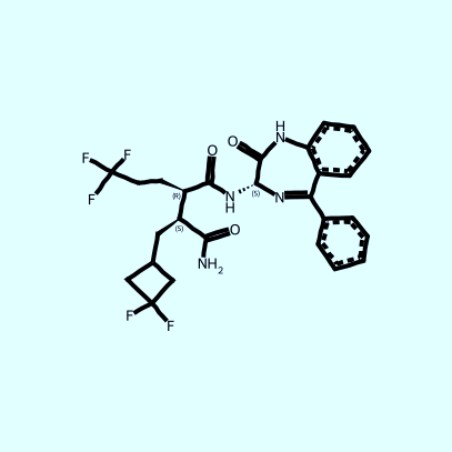 NC(=O)[C@@H](CC1CC(F)(F)C1)[C@@H](CCC(F)(F)F)C(=O)N[C@H]1N=C(c2ccccc2)c2ccccc2NC1=O